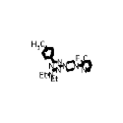 CCN(CC)c1nc(-c2ccc(C)cc2)nc(N2CCN(c3ncccc3C(F)(F)F)CC2)n1